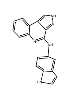 c1ccc2c(c1)nc(Nc1ccc3[nH]ccc3c1)c1n[nH]cc12